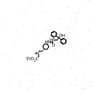 CCOC(=O)CN(C)CC[C@H]1CC[C@H](NC(=O)N[C@@H](C)C(O)(c2ccccc2)c2ccccc2)CC1